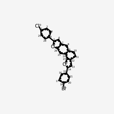 Clc1ccc(-c2cc3cc4ccc5cc(-c6ccc(Br)cc6)oc5c4cc3o2)cc1